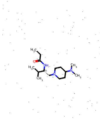 CCC(=O)N[C@H](CN1CCC(N(C)C)CC1)C(C)C